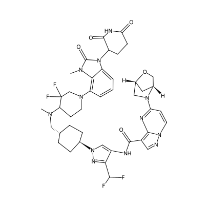 CN(C[C@H]1CC[C@H](n2cc(NC(=O)c3cnn4ccc(N5C[C@H]6C[C@@H]5CO6)nc34)c(C(F)F)n2)CC1)C1CCN(c2cccc3c2n(C)c(=O)n3C2CCC(=O)NC2=O)CC1(F)F